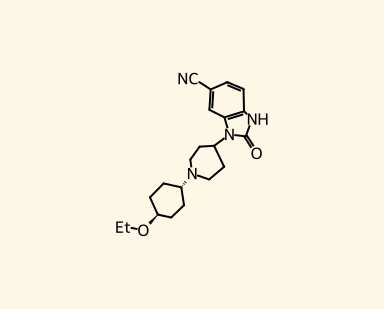 CCO[C@H]1CC[C@H](N2CCC(n3c(=O)[nH]c4ccc(C#N)cc43)CC2)CC1